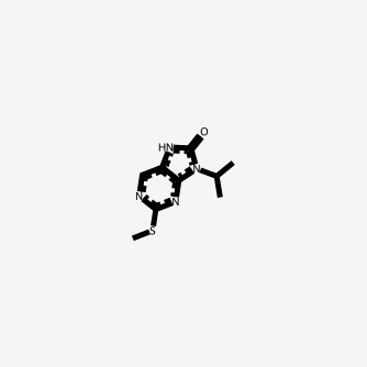 CSc1ncc2[nH]c(=O)n(C(C)C)c2n1